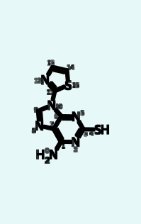 Nc1nc(S)nc2c1ncn2-c1nccs1